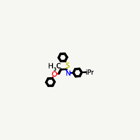 C/C(=C\Oc1ccccc1)C(=Nc1ccc(C(C)C)cc1)Sc1ccccc1